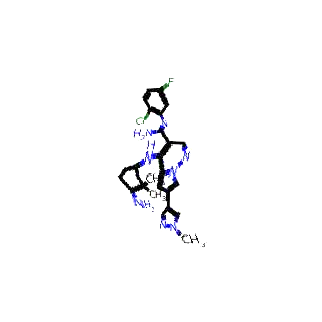 Cn1cc(-c2cc3c(NC4CCC(N)C4(C)C)c(/C(N)=N/c4cc(F)ccc4Cl)cnn3c2)cn1